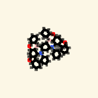 c1ccc(N2c3cc4c(cc3B3c5ccccc5Oc5cc6oc7ccccc7c6c2c53)B2c3ccccc3Oc3cc5oc6ccccc6c5c(c32)N4c2ccccc2)cc1